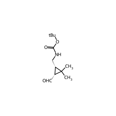 CC(C)(C)OC(=O)NC[C@H]1[C@@H](C=O)C1(C)C